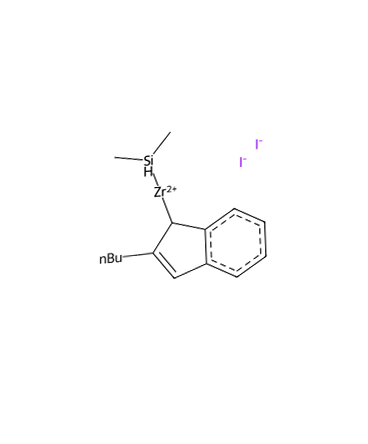 CCCCC1=Cc2ccccc2[CH]1[Zr+2][SiH](C)C.[I-].[I-]